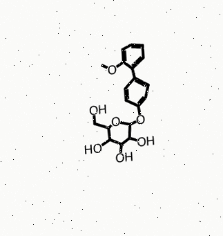 COc1ccccc1-c1ccc(OC2OC(CO)C(O)C(O)C2O)cc1